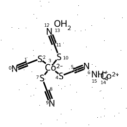 N#C[S][Co-2]([S]C#N)([S]C#N)[S]C#N.O.[Co+2].[NH4+]